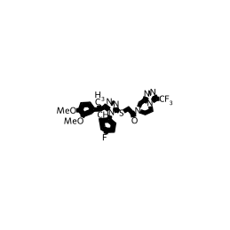 COc1ccc(C(C)(C)c2nnc(SCC(=O)N3CCn4c(nnc4C(F)(F)F)C3)n2-c2ccc(F)cc2)cc1OC